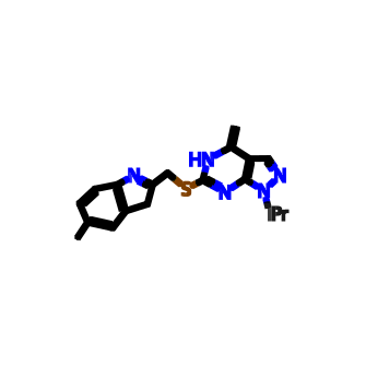 C=C1NC(SCC2=Nc3ccc(C)cc3C2)=Nc2c1cnn2C(C)C